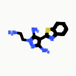 NCCn1nc(N)c(-c2nc3ccccc3s2)c1N